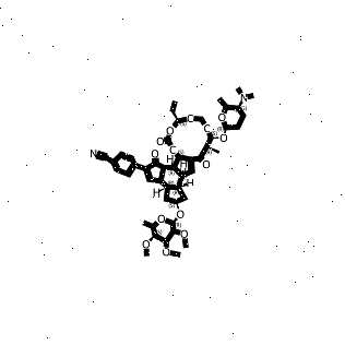 CC[C@H]1CCC[C@H](O[C@H]2CC[C@H](N(C)C)C(C)O2)[C@@H](C)C(=O)C2=C[C@H]3[C@@H]4C[C@H](O[C@@H]5OC(C)[C@H](OC)C(OC)C5OC)C[C@H]4C4C=C(c5ccc(C#N)cc5)C(=O)C4[C@H]3[C@@H]2CC(=O)O1